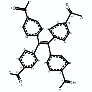 CC(=O)c1ccc(C(=C(c2ccc(C(C)=O)cc2)c2ccc(C(C)=O)cc2)c2ccc(C(C)=O)cc2)cc1